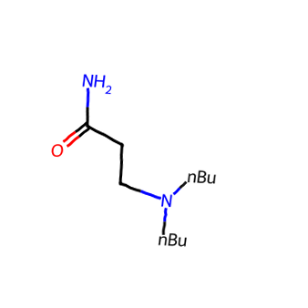 CCCCN(CCCC)CCC(N)=O